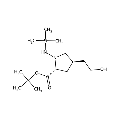 CC(C)(C)OC(=O)[C@H]1C[C@H](CCO)CN1N[Si](C)(C)C